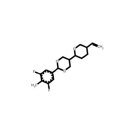 C=CC1CCC(C2COC(c3cc(F)c(C)c(F)c3)OC2)OC1